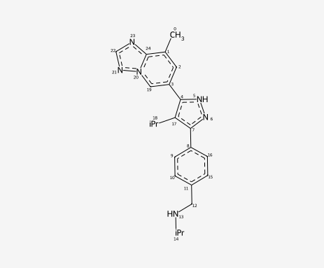 Cc1cc(-c2[nH]nc(-c3ccc(CNC(C)C)cc3)c2C(C)C)cn2ncnc12